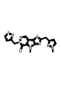 Cn1ccc(Cc2nc3c(s2)c2cnn(Cc4ccsn4)c(=O)c2n3C)n1